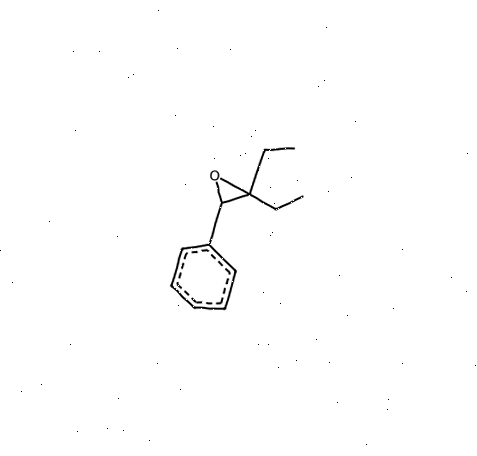 CCC1(CC)OC1c1ccccc1